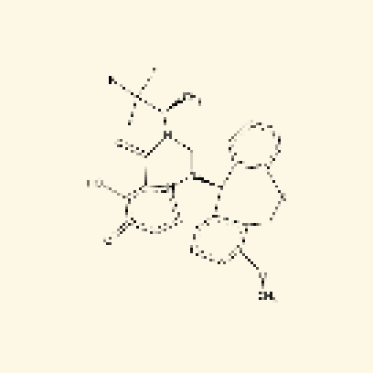 COc1cccc2c1CSc1ccccc1[C@@H]2N1CN([C@H](C)C(F)(F)F)C(=O)c2c(O)c(=O)ccn21